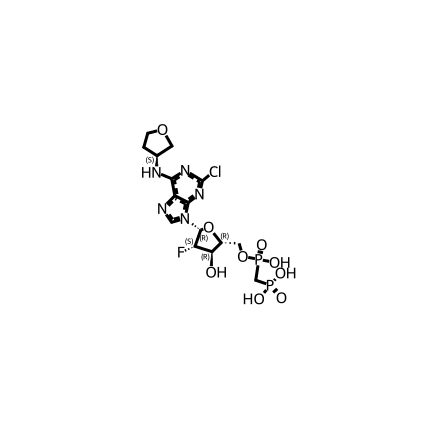 O=P(O)(O)CP(=O)(O)OC[C@H]1O[C@@H](n2cnc3c(N[C@H]4CCOC4)nc(Cl)nc32)[C@@H](F)[C@@H]1O